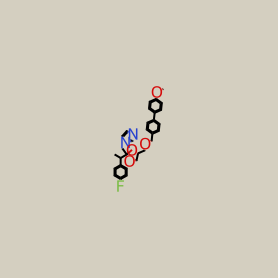 COc1ccc(-c2ccc(COCC3COC(Cn4ccnc4)(C(C)c4ccc(F)cc4)O3)cc2)cc1